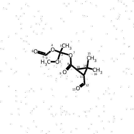 COC(C)(O[C]=O)OC(=O)C1C([C]=O)C1(C)C